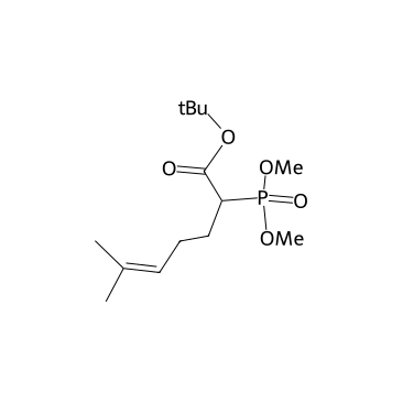 COP(=O)(OC)C(CCC=C(C)C)C(=O)OC(C)(C)C